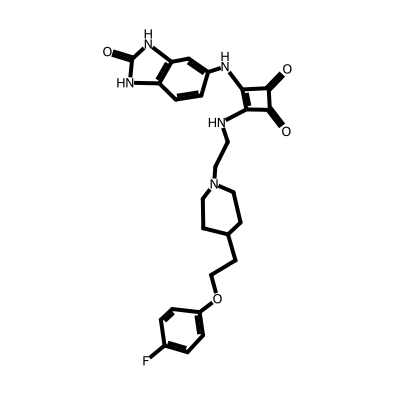 O=c1[nH]c2ccc(Nc3c(NCCN4CCC(CCOc5ccc(F)cc5)CC4)c(=O)c3=O)cc2[nH]1